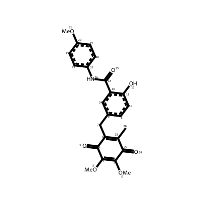 COC1=C(OC)C(=O)C(Cc2ccc(O)c(C(=O)Nc3ccc(OC)cc3)c2)=C(C)C1=O